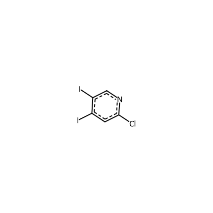 Clc1cc(I)c(I)cn1